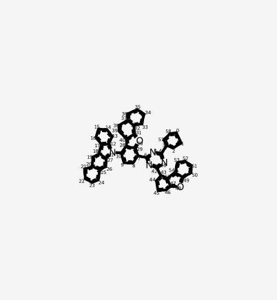 c1ccc(-c2nc(-c3ccc(-n4c5ccccc5c5cc6ccccc6cc54)c4c3oc3c5ccccc5ccc34)nc(-c3cccc4oc5ccccc5c34)n2)cc1